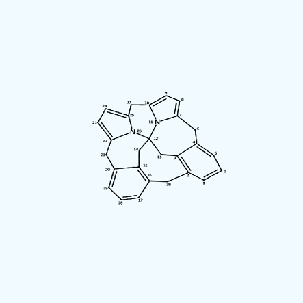 c1cc2c3c(c1)Cc1ccc4n1C1(C3)Cc3c(cccc3Cc3ccc(n31)C4)C2